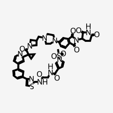 CS(=O)(=O)n1ccc(C(=O)NCC(=O)Nc2nc(-c3cccc(-c4ccnc(C5(C(=O)N6CC(CN7CCN(c8ccc9c(c8)C(=O)N(C8CCC(=O)NC8=O)C9=O)CC7)C6)CC5)c4)c3)cs2)c1